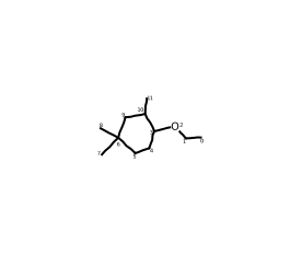 CCOC1CCC(C)(C)CC1C